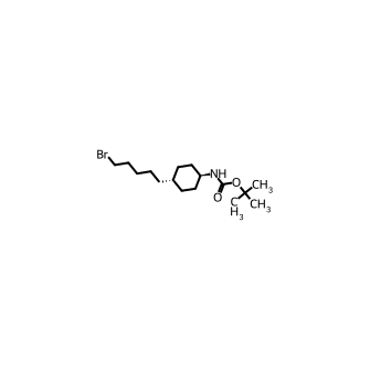 CC(C)(C)OC(=O)N[C@H]1CC[C@H](CCCCCBr)CC1